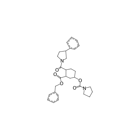 O=C(OCc1ccccc1)C1CC(OC(=O)N2CCCC2)CCC1C(=O)N1CCC(c2ccccc2)C1